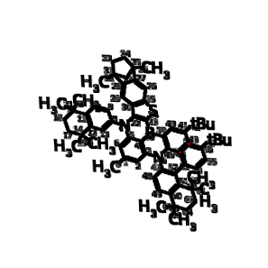 Cc1cc2c3c(c1)N(c1ccc4c(c1)C(C)(C)CCC4(C)C)c1c(sc4cc5c(cc14)C1(C)CCC5(C)C1)B3c1cc(C(C)(C)C)ccc1N2c1ccc2c(c1-c1ccc(C(C)(C)C)cc1)C(C)(C)CCC2(C)C